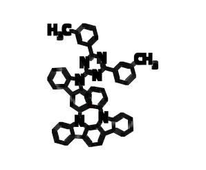 Cc1cccc(-c2nc(-c3cccc(C)c3)nc(-n3c4ccccc4c4cc(-n5c6ccccc6c6ccc7c8ccccc8n(-c8ccccc8)c7c65)ccc43)n2)c1